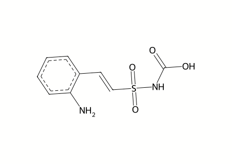 Nc1ccccc1/C=C/S(=O)(=O)NC(=O)O